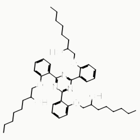 CCCCCCC(O)COc1ccccc1-c1nc(-c2ccccc2OCC(O)CCCCCC)nc(-c2ccccc2OCC(O)CCCCCC)n1